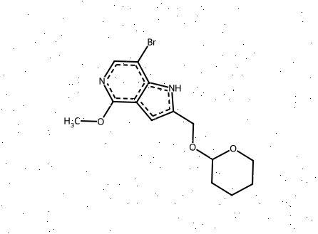 COc1ncc(Br)c2[nH]c(COC3CCCCO3)cc12